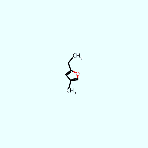 CCc1cc(C)co1